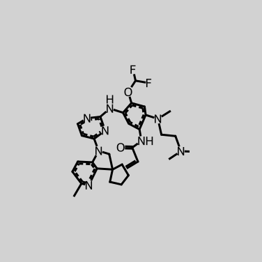 C=CC(=O)Nc1cc(Nc2nccc(N3CC4(CCCC4)c4nc(C)ccc43)n2)c(OC(F)F)cc1N(C)CCN(C)C